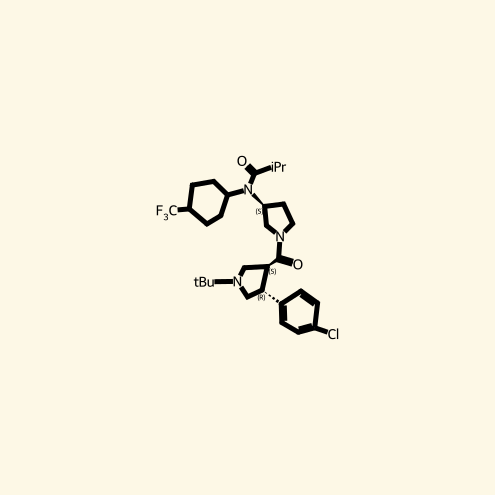 CC(C)C(=O)N(C1CCC(C(F)(F)F)CC1)[C@H]1CCN(C(=O)[C@@H]2CN(C(C)(C)C)C[C@H]2c2ccc(Cl)cc2)C1